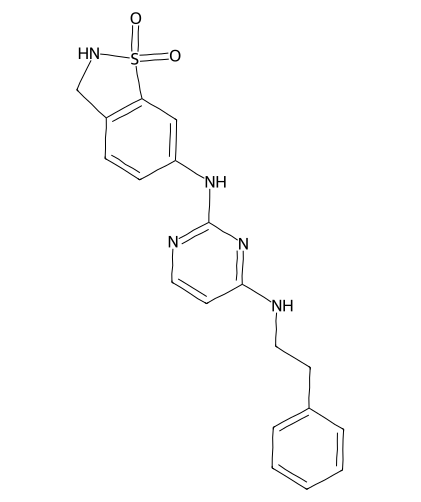 O=S1(=O)NCc2ccc(Nc3nccc(NCCc4ccccc4)n3)cc21